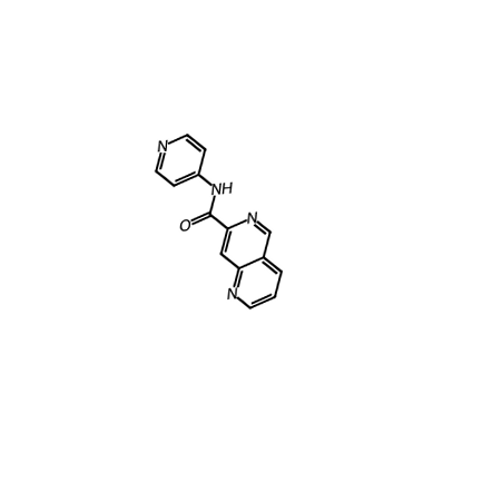 O=C(Nc1ccncc1)c1cc2ncccc2cn1